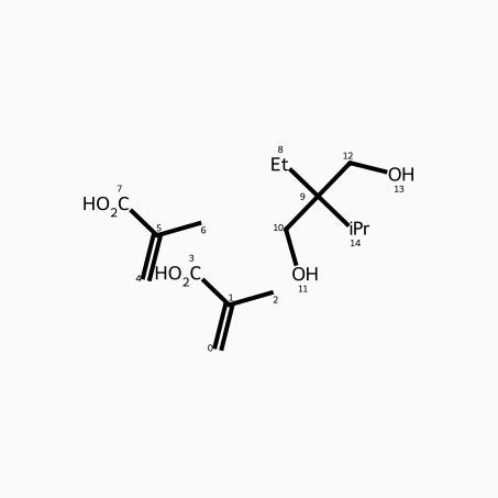 C=C(C)C(=O)O.C=C(C)C(=O)O.CCC(CO)(CO)C(C)C